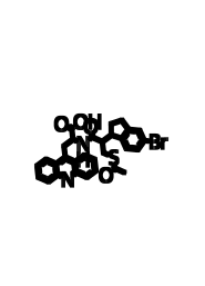 CC(=O)SCC(C(=O)NC(Cc1c2ccccc2nc2ccccc12)C(=O)O)C1CCc2cc(Br)ccc21